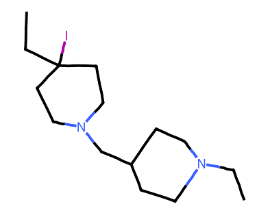 CCN1CCC(CN2CCC(I)(CC)CC2)CC1